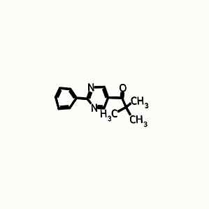 CC(C)(C)C(=O)c1cnc(-c2ccccc2)nc1